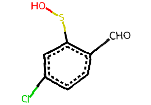 O=Cc1ccc(Cl)cc1SO